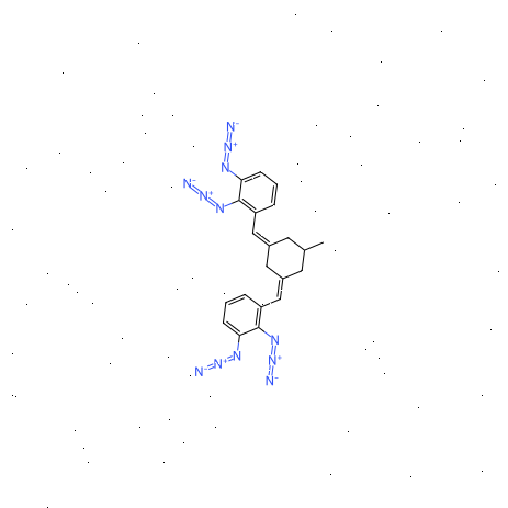 CC1CC(=Cc2cccc(N=[N+]=[N-])c2N=[N+]=[N-])CC(=Cc2cccc(N=[N+]=[N-])c2N=[N+]=[N-])C1